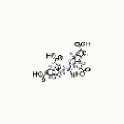 CC1(C)C(/C=C/C(C#N)=C/C=C2/N(CCC(=O)O)c3ccc(C(=O)O)cc3C2(C)C)=[N+](CCC(=O)O)c2ccc(C(=O)O)cc21